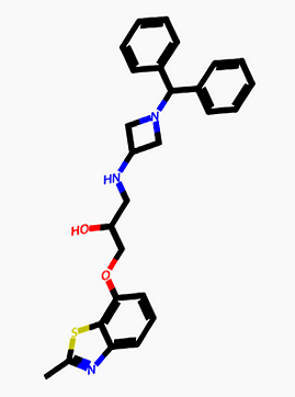 Cc1nc2cccc(OCC(O)CNC3CN(C(c4ccccc4)c4ccccc4)C3)c2s1